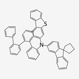 c1ccc(-c2ccccc2-c2ccccc2-c2ccccc2N(c2ccc3c(c2)-c2ccccc2C32CCCC2)c2ccc3c(c2)sc2ccccc23)cc1